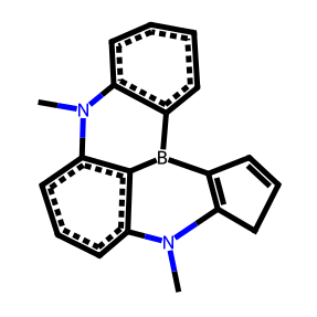 CN1C2=C(C=CC2)B2c3ccccc3N(C)c3cccc1c32